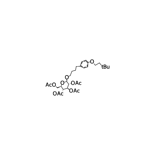 CC(=O)OC[C@H]1O[C@@H](OCCCCc2ccc(OCCC(C)(C)C)cc2)[C@H](OC(C)=O)[C@@H](OC(C)=O)[C@@H]1OC(C)=O